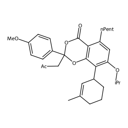 CCCCCc1cc(OC(C)C)c(C2C=C(C)CCC2)c2c1C(=O)OC(CC(C)=O)(c1ccc(OC)cc1)O2